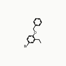 CCc1cc(Br)ccc1OCc1ccccc1